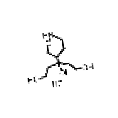 Cl.OCCC(O)(CCO)C1CCNCC1